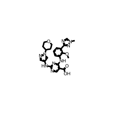 COc1c(Nc2nc(Nc3cnn(C4CCOCC4)c3)ncc2C(=O)O)cccc1-c1ncn(C)n1